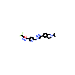 CC(C)N1CCc2cc(-c3cn(Cc4ccc(-c5nnc(C(F)F)o5)cn4)nn3)ccc2C1